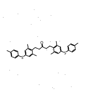 Cc1ccc(Sc2cc(C)c(CCC(=O)CCc3c(C)cc(Sc4ccc(C)cc4)cc3C)c(C)c2)cc1